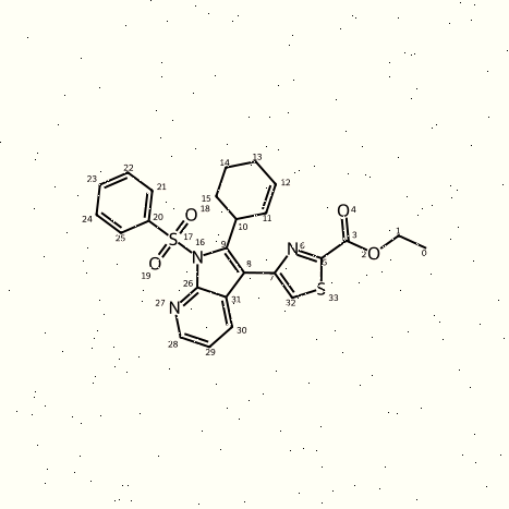 CCOC(=O)c1nc(-c2c(C3C=CCCC3)n(S(=O)(=O)c3ccccc3)c3ncccc23)cs1